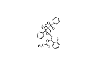 CC(=O)OC(/C=C/CC(C)(S(=O)(=O)c1ccccc1)S(=O)(=O)c1ccccc1)c1ccccc1I